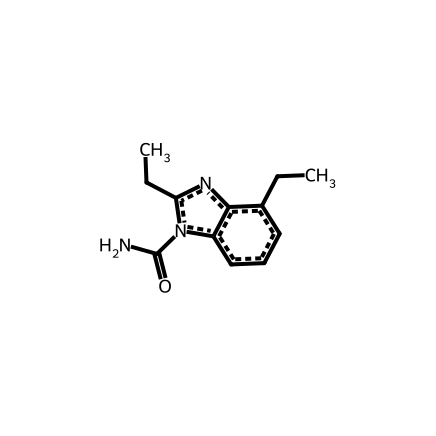 CCc1cccc2c1nc(CC)n2C(N)=O